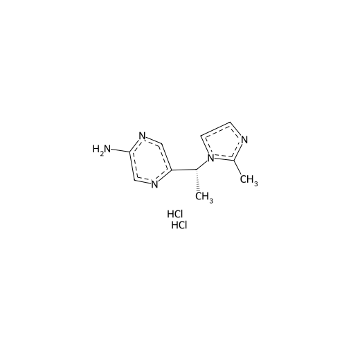 Cc1nccn1[C@H](C)c1cnc(N)cn1.Cl.Cl